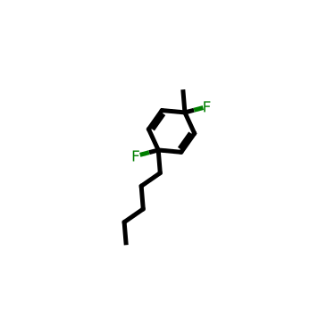 CCCCCC1(F)C=CC(C)(F)C=C1